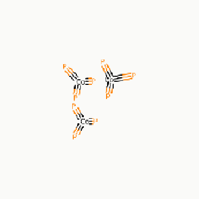 [P]#[Co](#[P])#[P].[P]#[Co](#[P])#[P].[P]#[Co](#[P])#[P]